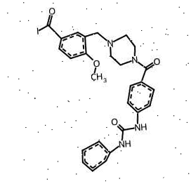 COc1ccc(C(=O)I)cc1CN1CCN(C(=O)c2ccc(NC(=O)Nc3ccccc3)cc2)CC1